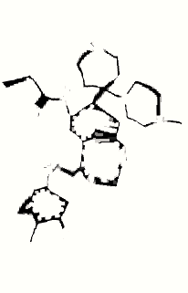 C=CC(=O)Nc1cc2c(Nc3ccc(F)c(Cl)c3)ncnc2cc1C1(N2CCN(C)CC2)CCOCC1